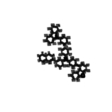 c1cc(-c2ccc3ccccc3c2)cc(N(c2ccc(-c3cccc(-n4c5ccccc5c5ccccc54)c3)cc2)c2ccc(-c3cccc4oc5ccccc5c34)cc2)c1